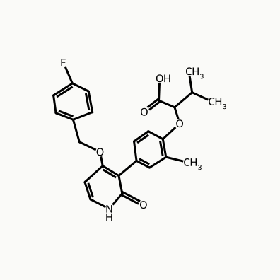 Cc1cc(-c2c(OCc3ccc(F)cc3)cc[nH]c2=O)ccc1OC(C(=O)O)C(C)C